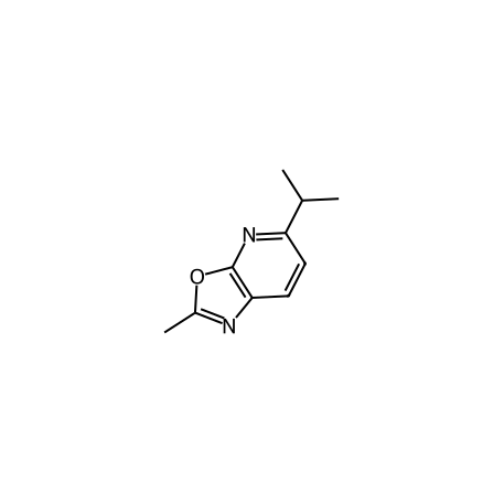 Cc1nc2ccc(C(C)C)nc2o1